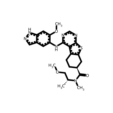 COC[C@@H](C)N(C)C(=O)[C@H]1CCc2c(sc3ncnc(Nc4cc5cn[nH]c5cc4OC)c23)C1